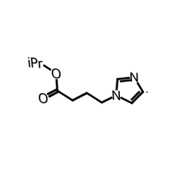 CC(C)OC(=O)CCCn1c[c]nc1